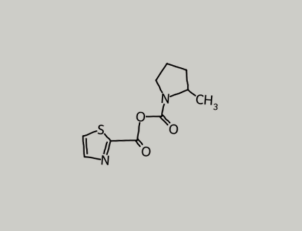 CC1CCCN1C(=O)OC(=O)c1nccs1